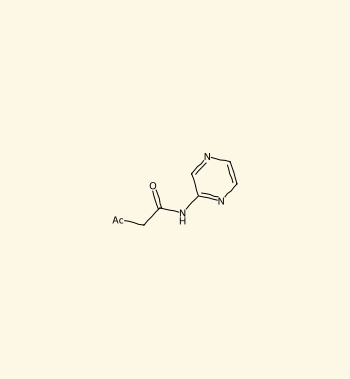 CC(=O)CC(=O)Nc1cnccn1